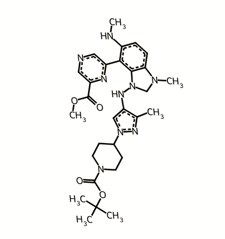 CNc1ccc2c(c1-c1cncc(C(=O)OC)n1)N(Nc1cn(C3CCN(C(=O)OC(C)(C)C)CC3)nc1C)CN2C